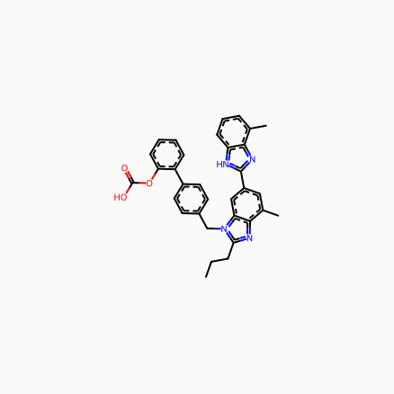 CCCc1nc2c(C)cc(-c3nc4c(C)cccc4[nH]3)cc2n1Cc1ccc(-c2ccccc2OC(=O)O)cc1